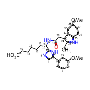 COc1cccc(-c2cnc([C@H](CCCCCC(=O)O)NC(=O)Cc3c(C)[nH]c4ccc(OC)cc34)[nH]2)c1